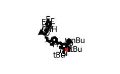 C=C1/C(=C\C=C2/CCC[C@@]3(C)[C@@H]2CC[C@@H]3[C@H](C)CC[C@@H](OC(=O)Nc2c(F)c(F)c(F)c(F)c2F)C2CC2)C[C@](O[Si](C)(C)C(C)(C)C)(c2ncc(CCCC)o2)C[C@@H]1O[Si](C)(C)C(C)(C)C